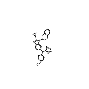 Clc1ccc(C(c2ccc3nc(C4CC4)n(C4CCc5ccccc5C4)c3c2)c2nccs2)cc1